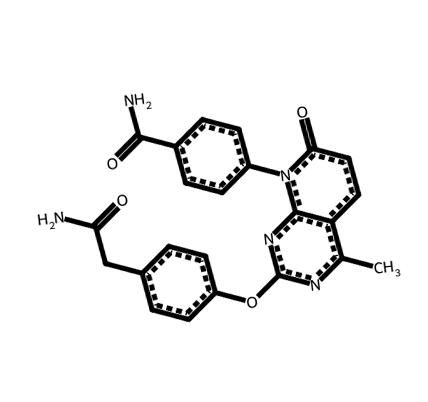 Cc1nc(Oc2ccc(CC(N)=O)cc2)nc2c1ccc(=O)n2-c1ccc(C(N)=O)cc1